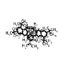 CN(C)c1ccc(P(O)(O)(O)c2cc3c(C(C)(C)C)cc(C(C)(C)C)cc3cc2C(C)(C)C)c(-c2cc3c(C(C)(C)C)cc(C(C)(C)C)cc3cc2C(C)(C)C)c1